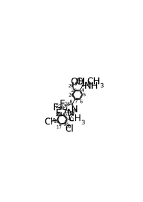 CNC(=O)c1ccc(C2=NN(C)C(c3cc(Cl)cc(Cl)c3)(C(F)(F)F)C2)cc1CO